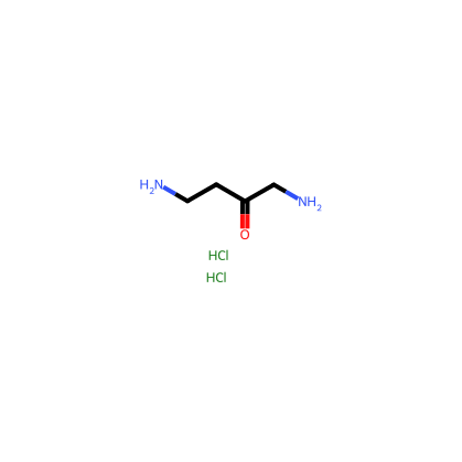 Cl.Cl.NCCC(=O)CN